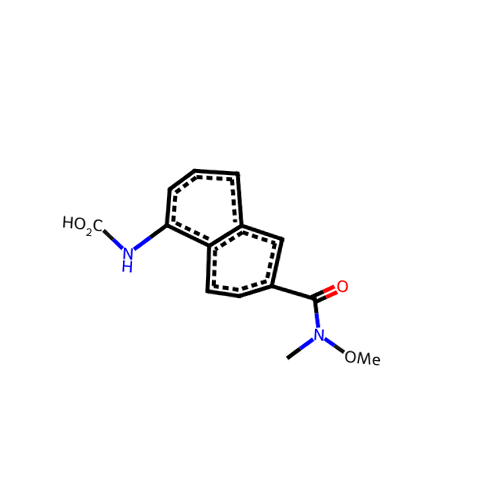 CON(C)C(=O)c1ccc2c(NC(=O)O)cccc2c1